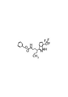 CCCC(CCNC(=O)OCc1ccccc1)c1n[nH]c2c(OC(F)(F)F)cccc12